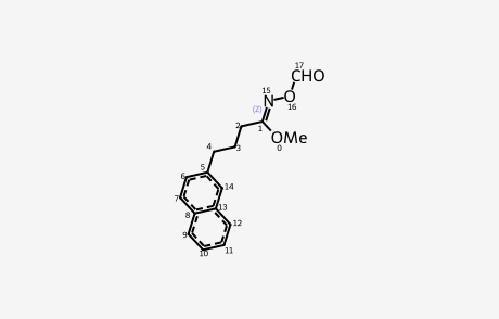 CO/C(CCCc1ccc2ccccc2c1)=N\OC=O